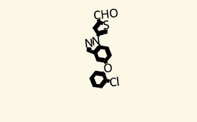 O=Cc1cc(-n2ncc3cc(Oc4ccccc4Cl)ccc32)cs1